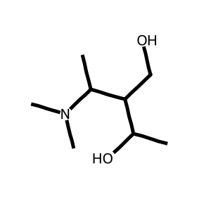 CC(O)C(CO)C(C)N(C)C